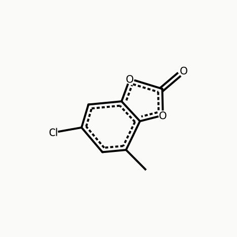 Cc1cc(Cl)cc2oc(=O)oc12